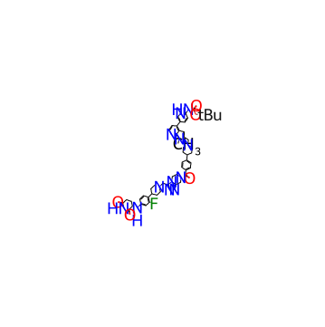 Cn1c(CN2CCC(c3ccc(C(=O)N4CCn5c(CN6CCC(c7ccc(NC8CCC(=O)NC8=O)cc7F)CC6)nnc5C4)cc3)CC2)cc2c(-c3ccc(NC(=O)OC(C)(C)C)nc3)ccnc21